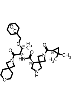 C[C@@H](OCC12CCC(CC1)OC2)[C@H](NC(=O)[C@@H]1CNCC12CN(C(=O)[C@H]1CC1(C)C)C2)C(=O)N1CC2(CCOCC2)C1